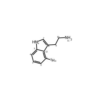 [2H]c1cccc2[nH]cc(CCN)c12